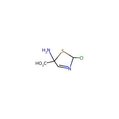 NC1(C(=O)O)C=NC(Cl)S1